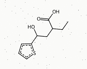 CCC(CC(O)c1cccs1)C(=O)O